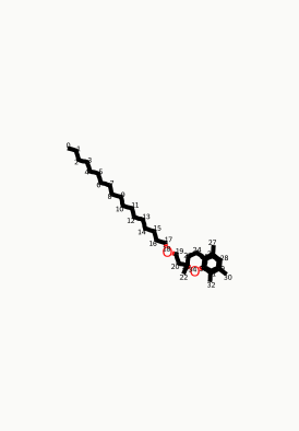 CCCCCCCCCCCCCCCCCCOCCC1(C)CCc2c(C)cc(C)c(C)c2O1